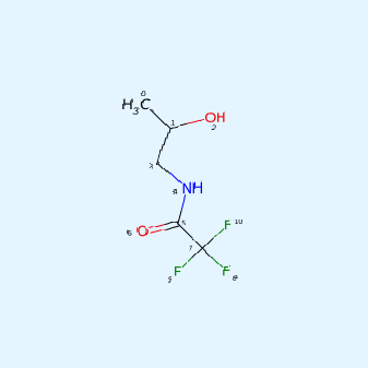 CC(O)CNC(=O)C(F)(F)F